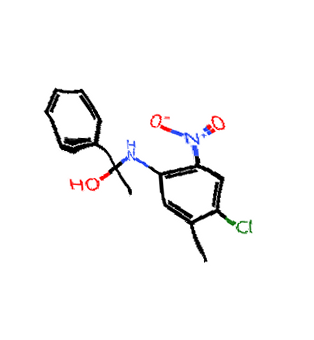 Cc1cc(NC(C)(O)c2ccccc2)c([N+](=O)[O-])cc1Cl